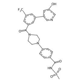 CS(=O)(=O)NC(=O)c1ccc(N2CCN(C(=O)c3cc(-c4cncc(O)c4)cc(C(F)(F)F)c3)CC2)cc1